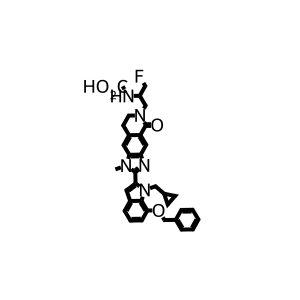 Cn1c(-c2cc3cccc(OCc4ccccc4)c3n2CC2CC2)nc2cc3c(cc21)CCN(CC(CF)NC(=O)O)C3=O